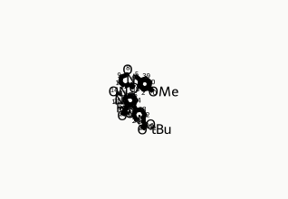 COc1ccc(CN2C(=O)CCC(n3c(=O)n(C)c4c(S(=O)(=O)F)c(C5CCN(C(=O)OC(C)(C)C)CC5)ccc43)C2=O)cc1